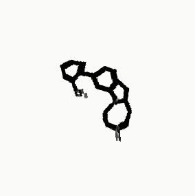 FC(F)(F)c1ccccc1C1=CC=C2C=C3CCNCCN3C2C1